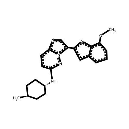 COc1cccc2cc(-c3cnc4ccc(N[C@H]5CC[C@H](C)CC5)nn34)sc12